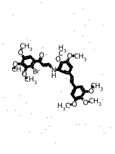 COc1cc(C=Cc2cc(OC)c(OC)c(OC)c2)cc(NC=CC(=O)c2cc(OC)c(OC)c(OC)c2Br)c1OC